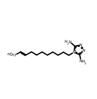 CCCCCCCCC=CCCCCCCCCn1c(N)nnc1N